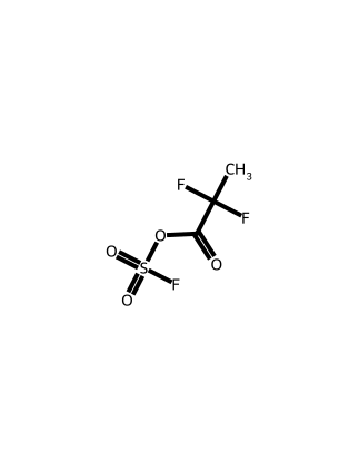 CC(F)(F)C(=O)OS(=O)(=O)F